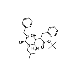 CC(C)CN(C(=O)OCc1ccccc1)C(N)C(O)C(Cc1ccccc1)C(=O)OC(C)(C)C